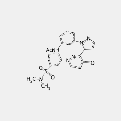 CC(=O)Nc1cccc(-n2nccc2-c2nn(-c3cccc(S(=O)(=O)N(C)C)c3)ccc2=O)c1